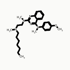 CCCCCCCN(C)CCN(C)c1nc(N(C)c2ccc(OC)cc2)c2ccccc2n1